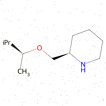 CC(C)[C@H](C)OC[C@H]1CCCCN1